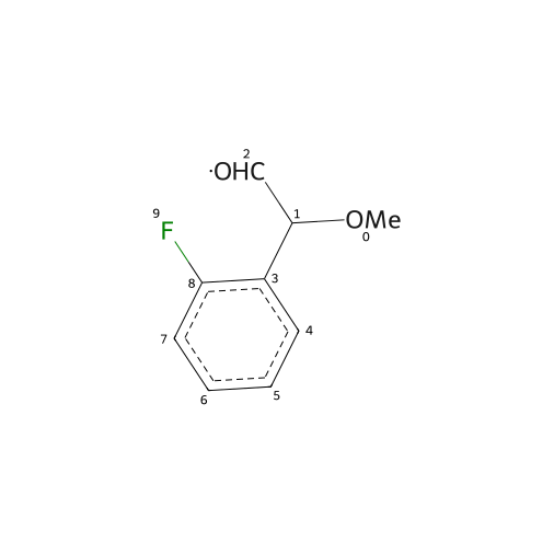 COC([C]=O)c1ccccc1F